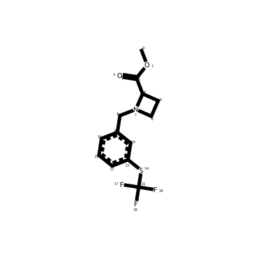 COC(=O)C1CCN1Cc1cccc(SC(F)(F)F)c1